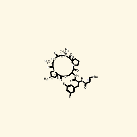 CCCC/C=C/C(=O)NC(Cc1cc(F)cc(F)c1)C(=O)NC1COC(=O)[C@@H]2C[C@@H](C)CN2C(=O)[C@H](C)NC(=O)[C@H](C)N(C)C(=O)[C@@H]2CCCN2C1=O